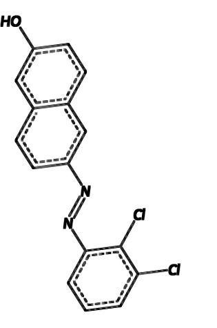 Oc1ccc2cc(/N=N/c3cccc(Cl)c3Cl)ccc2c1